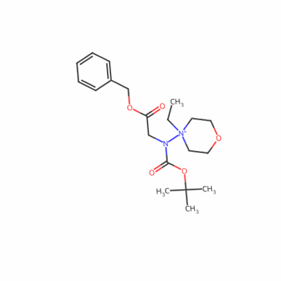 CC[N+]1(N(CC(=O)OCc2ccccc2)C(=O)OC(C)(C)C)CCOCC1